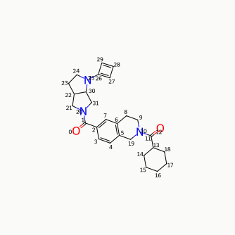 O=C(c1ccc2c(c1)CCN(C(=O)C1CCCCC1)C2)N1CC2CCN(C3=CC=C3)C2C1